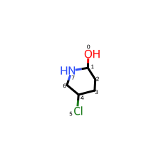 OC1CCC(Cl)CN1